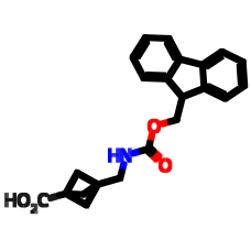 O=C(NCC12CC(C(=O)O)(C1)C2)OCC1c2ccccc2-c2ccccc21